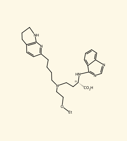 CCOCCN(CCCCc1ccc2c(n1)NCCC2)CC[C@H](Nc1ncnc2ccccc12)C(=O)O